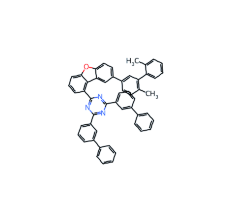 Cc1ccccc1-c1cc(-c2ccc3oc4cccc(-c5nc(-c6cccc(-c7ccccc7)c6)nc(-c6cccc(-c7ccccc7)c6)n5)c4c3c2)ccc1C